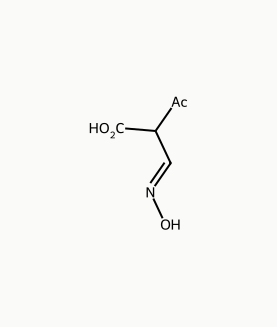 CC(=O)C(C=NO)C(=O)O